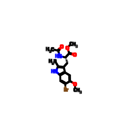 Bc1[nH]c2cc(Br)c(OC)cc2c1C[C@H](NC(C)=O)C(=O)OC